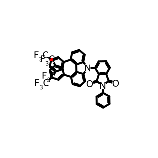 O=C1c2cccc(-n3c4cccc(-c5cc(C(F)(F)F)cc(C(F)(F)F)c5)c4c4c(-c5cc(C(F)(F)F)cc(C(F)(F)F)c5)cccc43)c2C(=O)N1c1ccccc1